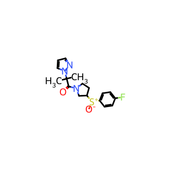 CC(C)(C(=O)N1CCC([S+]([O-])c2ccc(F)cc2)C1)n1cccn1